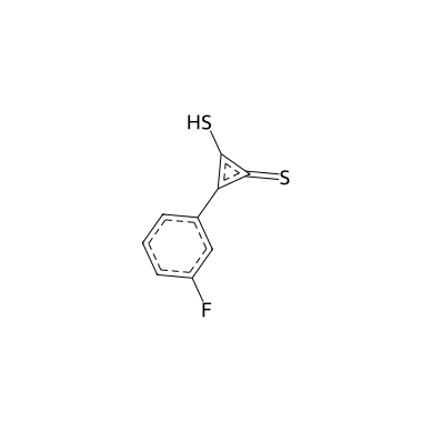 Fc1cccc(-c2c(S)c2=S)c1